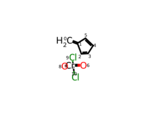 C=C1C=CC=C1.[O]=[Cr](=[O])([Cl])[Cl]